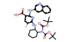 CC(C)(C)OC(=O)N(C(=O)OC(C)(C)C)C1CCCCC1Nc1nc(Nc2cnc3ccccc3c2)c(C(=O)O)cc1F